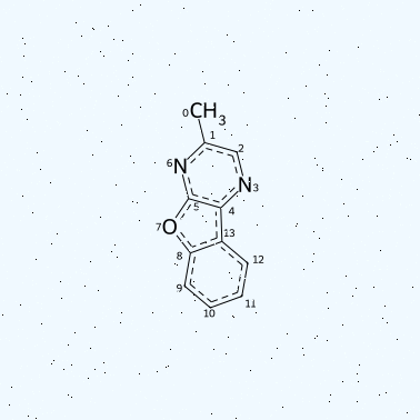 Cc1cnc2c(n1)oc1ccccc12